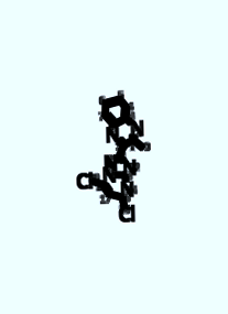 Cc1nc2ccccc2nc1-c1nc2nc(Cl)cc(Cl)n2n1